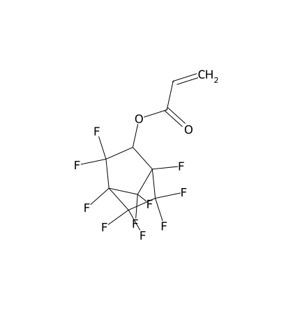 C=CC(=O)OC1C(F)(F)C2(F)C(F)(F)C(F)(F)C1(F)C2(F)F